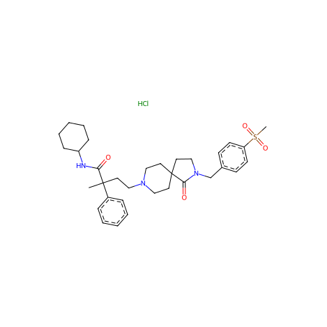 CC(CCN1CCC2(CC1)CCN(Cc1ccc(S(C)(=O)=O)cc1)C2=O)(C(=O)NC1CCCCC1)c1ccccc1.Cl